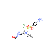 C[N+](C)(CCCNC=O)CCS(=O)(=O)c1ccc(N)cc1.[Cl-]